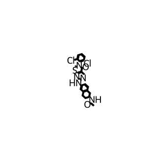 CC(=O)NC1CCc2cc(Nc3ncc4c(n3)SCN(c3c(Cl)cccc3Cl)C4=O)ccc2C1